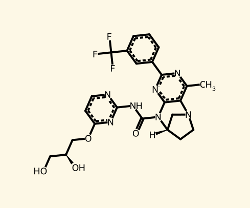 Cc1nc(-c2cccc(C(F)(F)F)c2)nc2c1N1CC[C@@H](C1)N2C(=O)Nc1nccc(OC[C@@H](O)CO)n1